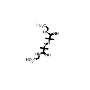 CC(C)(N=NC(C)(C)C(=N)NCC(=O)O)C(=N)NCC(=O)O